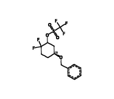 O=S(=O)(OC1C[C@@H](OCc2ccccc2)CCC1(F)F)C(F)(F)F